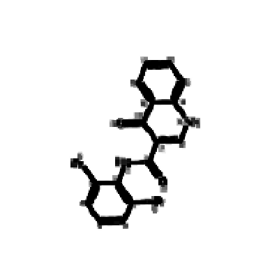 CC(C)c1cccc(C(C)C)c1NC(=O)c1c[nH]c2ccccc2c1=O